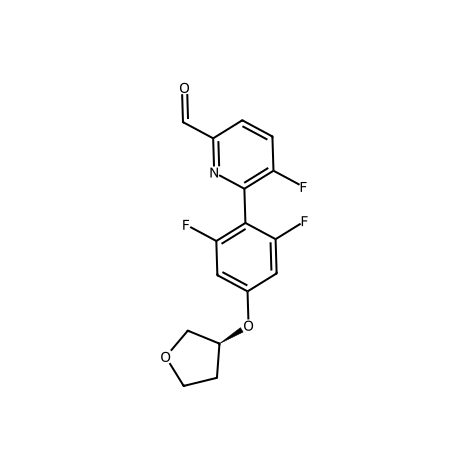 O=Cc1ccc(F)c(-c2c(F)cc(O[C@H]3CCOC3)cc2F)n1